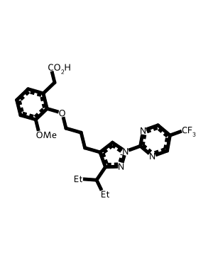 CCC(CC)c1nn(-c2ncc(C(F)(F)F)cn2)cc1CCCOc1c(CC(=O)O)cccc1OC